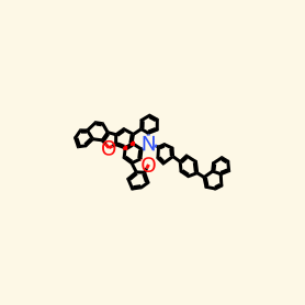 c1ccc(N(c2ccc(-c3ccc(-c4cccc5ccccc45)cc3)cc2)c2cccc3c2oc2ccccc23)c(-c2ccc3oc4c5ccccc5ccc4c3c2)c1